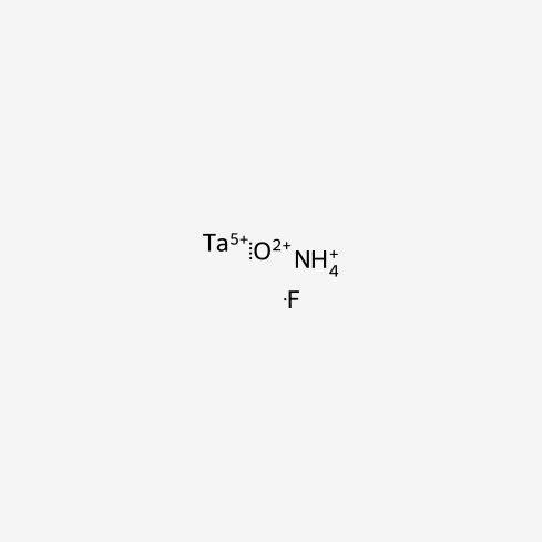 [F].[NH4+].[O+2].[Ta+5]